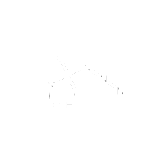 [N-]=[N+]=NS(=O)(=O)NC(=O)O